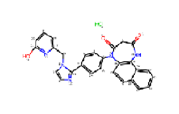 Cl.O=C1CC(=O)N(c2ccc(-c3nccn3Cc3cccc(O)n3)cc2)c2ccc3ccccc3c2N1